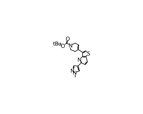 Cn1cc(-c2ccc3scc(C4=CCN(C(=O)OC(C)(C)C)CC4)c3n2)cn1